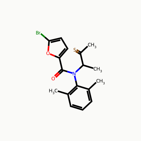 CC(=S)C(C)N(C(=O)c1ccc(Br)o1)c1c(C)cccc1C